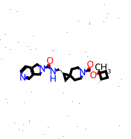 CC1(OC(=O)N2CCC3(CC2)C[C@@H]3CNC(=O)N2Cc3ccncc3C2)CCC1